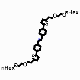 CCCCCCOCCOCCc1ccc(-c2ccc(/C=C/c3ccc(-c4ccc(CCOCCOCCCCCC)s4)cc3)cc2)s1